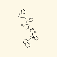 NC(OC(=O)C(=O)OC(N)C(COc1cccc2ccccc12)[SH]1C=CC=C1)C(COc1cccc2ccccc12)[SH]1C=CC=C1